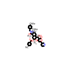 COc1ccc(CNC(=O)C2(C)C3C[C@H](OC(=O)c4ccc(C#N)cc4)[C@@]4(C)Oc5cc(-c6cccnc6)oc(=O)c5[C@H](O)C4[C@@]3(C)CC[C@@H]2OC(C)=O)c(OC)c1